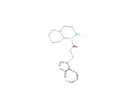 CC1CCC2CCCCC2N1C(=O)CCc1c[nH]c2ncccc12